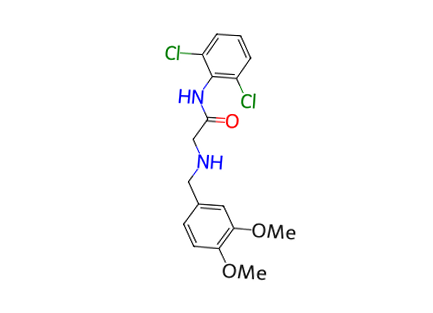 COc1ccc(CNCC(=O)Nc2c(Cl)cccc2Cl)cc1OC